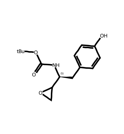 CC(C)(C)OC(=O)N[C@@H](Cc1ccc(O)cc1)C1CO1